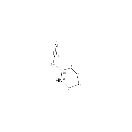 N#CC[C@@H]1CCCCN1